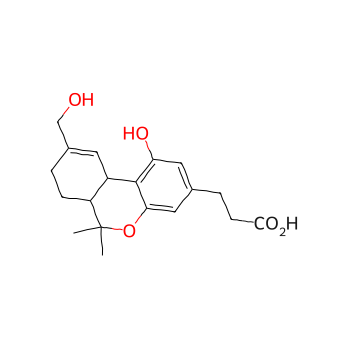 CC1(C)Oc2cc(CCC(=O)O)cc(O)c2C2C=C(CO)CCC21